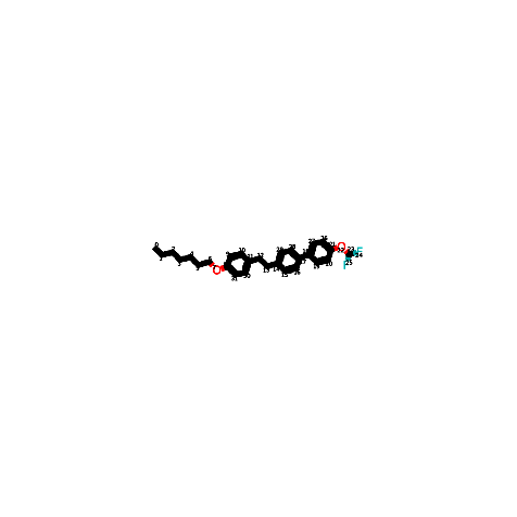 CCCCCCCOc1ccc(CCc2ccc(-c3ccc(OC(F)F)cc3)cc2)cc1